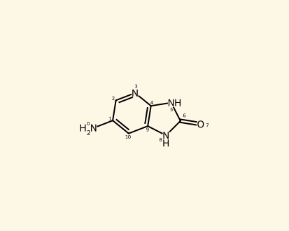 Nc1cnc2[nH]c(=O)[nH]c2c1